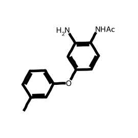 CC(=O)Nc1ccc(Oc2cccc(C)c2)cc1N